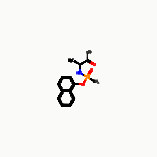 CCCC(=O)[C@H](C)NP(C)(=O)Oc1cccc2ccccc12